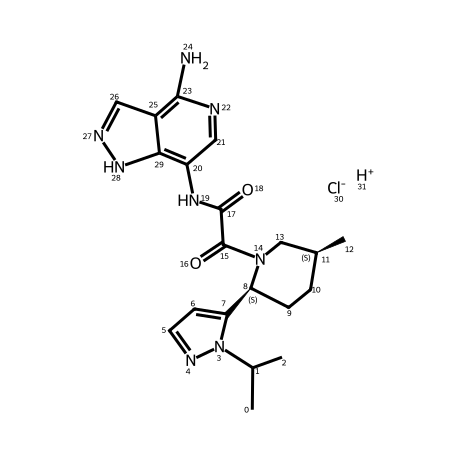 CC(C)n1nccc1[C@@H]1CC[C@H](C)CN1C(=O)C(=O)Nc1cnc(N)c2cn[nH]c12.[Cl-].[H+]